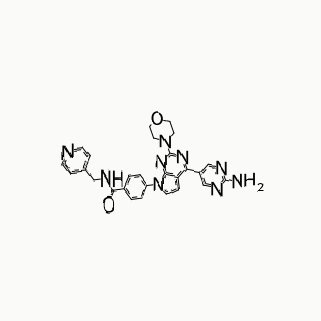 Nc1ncc(-c2nc(N3CCOCC3)nc3c2ccn3-c2ccc(C(=O)NCc3ccncc3)cc2)cn1